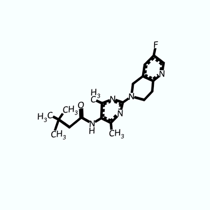 Cc1nc(N2CCc3ncc(F)cc3C2)nc(C)c1NC(=O)CC(C)(C)C